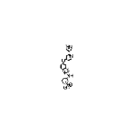 Cn1cc(-c2cc(Oc3ccc4nc(N[C@H]5CCCN(S(C)(=O)=O)C5)sc4c3)ccn2)cn1